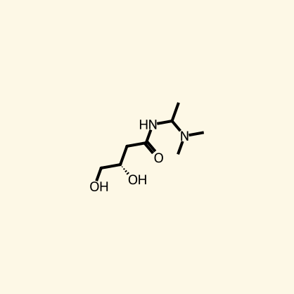 CC(NC(=O)C[C@H](O)CO)N(C)C